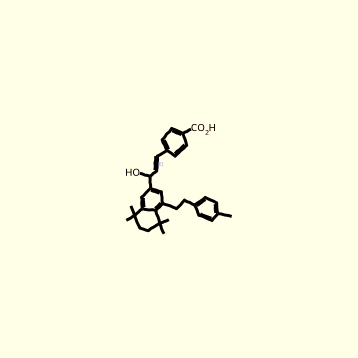 Cc1ccc(CCc2cc(C(O)/C=C/c3ccc(C(=O)O)cc3)cc3c2C(C)(C)CCC3(C)C)cc1